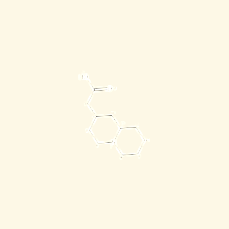 O=C(O)CC1CCN2CCCCC2C1